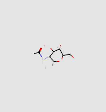 CC(=O)N[C@H]1C(O)[C@@H](O)C(CO)O[C@H]1C